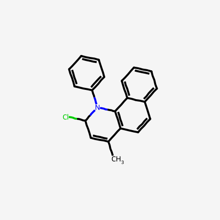 CC1=CC(Cl)N(c2ccccc2)c2c1ccc1ccccc21